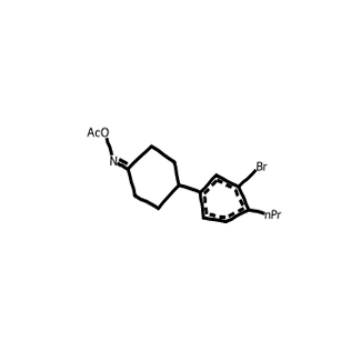 CCCc1ccc(C2CCC(=NOC(C)=O)CC2)cc1Br